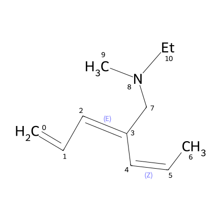 C=C/C=C(\C=C/C)CN(C)CC